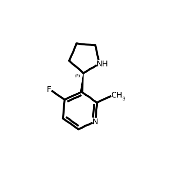 Cc1nccc(F)c1[C@H]1CCCN1